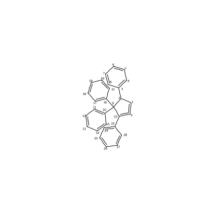 C1=CC(c2ccccc2)C(c2ccccc2)(c2ccccc2)C=1c1ccccc1